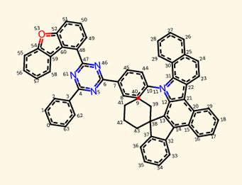 c1ccc(-c2nc(-c3ccc(-n4c5c6c(c7ccccc7c5c5ccc7ccccc7c54)-c4ccccc4C64CCCCC4)cc3)nc(-c3cccc4oc5ccccc5c34)n2)cc1